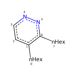 CCCCCCc1ccnnc1CCCCCC